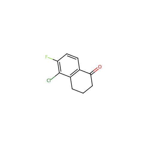 O=C1CCCc2c1ccc(F)c2Cl